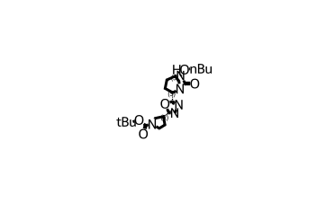 CCCCON1C(=O)N2C[C@@H]1CC[C@H]2c1nnc([C@@H]2CCN(C(=O)OC(C)(C)C)C2)o1